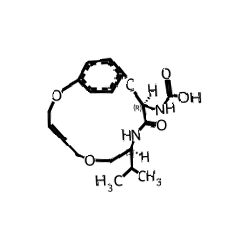 CC(C)[C@H]1COCC=CCOc2ccc(cc2)C[C@@H](NC(=O)O)C(=O)N1